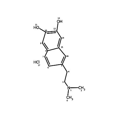 CN(C)CCc1ccc2cc(O)c(O)cc2c1.Cl